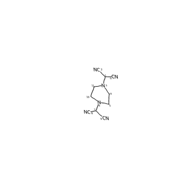 N#CC(C#N)N1CCN(C(C#N)C#N)CC1